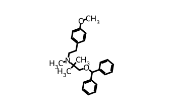 COc1ccc(CCN(C)C(C)(C)COC(c2ccccc2)c2ccccc2)cc1